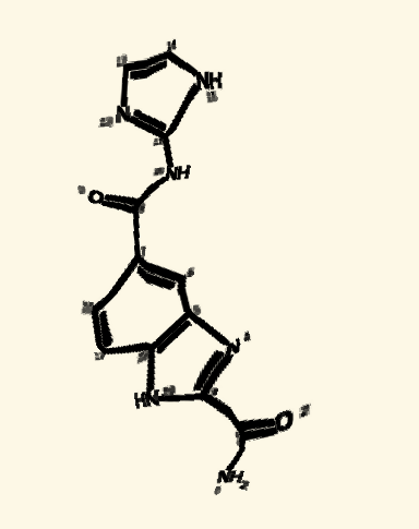 NC(=O)c1nc2cc(C(=O)Nc3ncc[nH]3)ccc2[nH]1